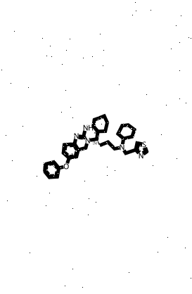 NC1=Nc2ccc(Oc3ccccc3)cc2CN1[C@@H](CCCN(Cc1cscn1)C1CCCCC1)C1CCCCC1